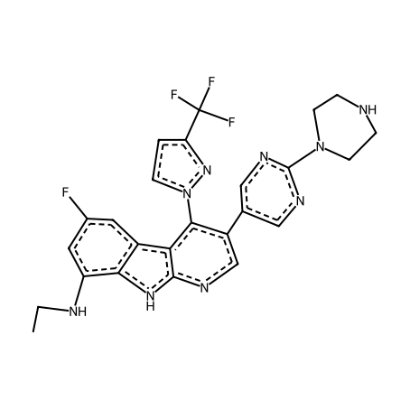 CCNc1cc(F)cc2c1[nH]c1ncc(-c3cnc(N4CCNCC4)nc3)c(-n3ccc(C(F)(F)F)n3)c12